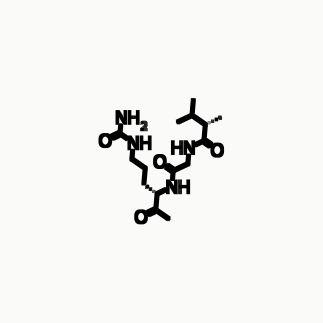 CC(=O)[C@H](CCCNC(N)=O)NC(=O)CNC(=O)[C@@H](C)C(C)C